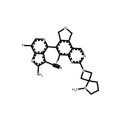 CN1CCCC12CN(c1ncc3c4c(c(-c5ncc(F)c6sc(N)c(C#N)c56)c(F)c3n1)COC4)C2